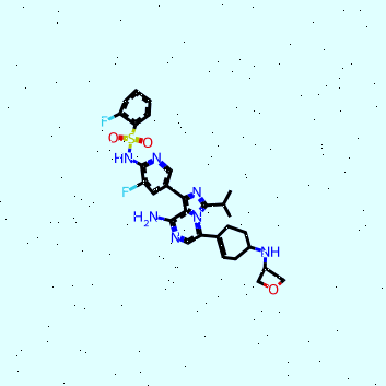 CC(C)c1nc(-c2cnc(NS(=O)(=O)c3ccccc3F)c(F)c2)c2c(N)ncc(C3=CCC(NC4COC4)CC3)n12